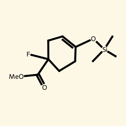 COC(=O)C1(F)CC=C(O[Si](C)(C)C)CC1